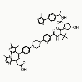 Cc1ncsc1-c1ccc(C(C)NC(=O)[C@@H]2C[C@@H](O)CN2C(=O)C(NC(=O)c2ccc(N3CCN(c4ccc(C5=N[C@@H](CC(=O)O)c6nnc(C)n6-c6sc(C)c(C)c65)cc4)CC3)nc2)C(C)(C)C)cc1